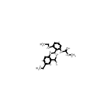 CCOc1cccc(OC(=O)OC)c1COc1ccc(CC)cc1C(F)F